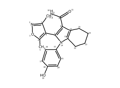 Cc1noc(C)c1-c1c(C(N)=O)c2c(n1-c1ccc(O)cc1)CCCC2